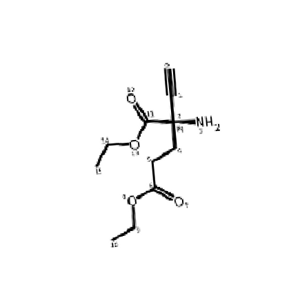 C#C[C@](N)(CCC(=O)OCC)C(=O)OCC